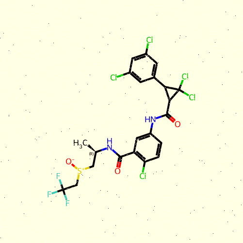 C[C@H](C[S+]([O-])CC(F)(F)F)NC(=O)c1cc(NC(=O)C2C(c3cc(Cl)cc(Cl)c3)C2(Cl)Cl)ccc1Cl